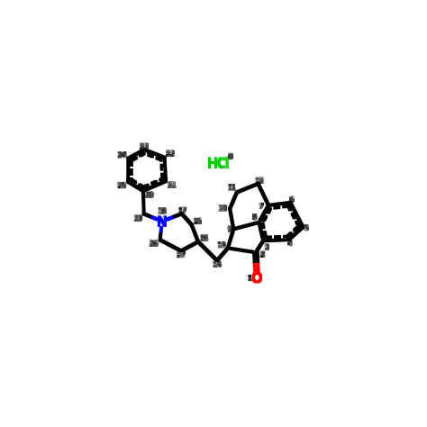 Cl.O=C1c2cccc3c2C(CCC3)C1CC1CCN(Cc2ccccc2)CC1